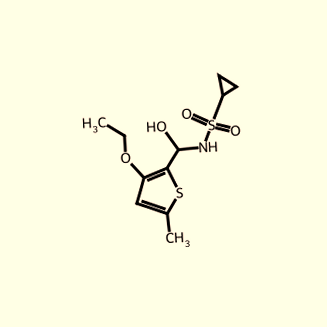 CCOc1cc(C)sc1C(O)NS(=O)(=O)C1CC1